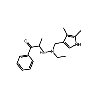 [CH2]CN(Cc1c[nH]c(C)c1C)NC(C)C(=O)c1ccccc1